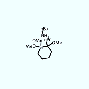 CCCC1(OC)CCCC[Si]1(OC)OC.CCCCN